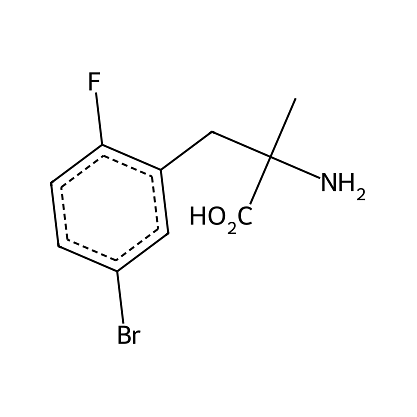 CC(N)(Cc1cc(Br)ccc1F)C(=O)O